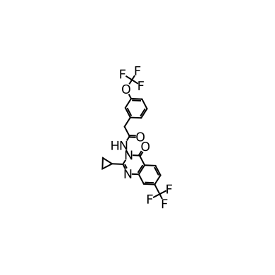 O=C(Cc1cccc(OC(F)(F)F)c1)Nn1c(C2CC2)nc2cc(C(F)(F)F)ccc2c1=O